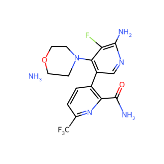 N.NC(=O)c1nc(C(F)(F)F)ccc1-c1cnc(N)c(F)c1N1CCOCC1